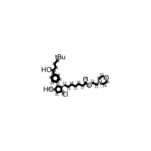 CC(C)(C)CCCC(O)c1ccc([C@@H]2[C@@H](CCCCCCC(=O)OCCN3CCOCC3)[C@H](Cl)C[C@H]2O)cc1